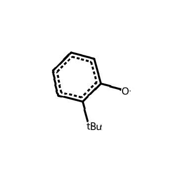 CC(C)(C)c1ccccc1[O]